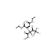 CCOC(=O)/C=C\C(=O)OCC.O=C(CF)C(F)(F)C(=O)C(F)(F)F